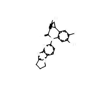 CC#CC(=O)N(c1ccc2c(n1)nc1n2CCC1)c1cc(C)c(I)cc1C1CC1